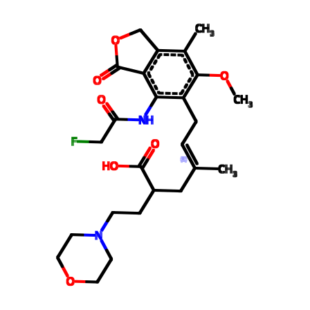 COc1c(C)c2c(c(NC(=O)CF)c1C/C=C(\C)CC(CCN1CCOCC1)C(=O)O)C(=O)OC2